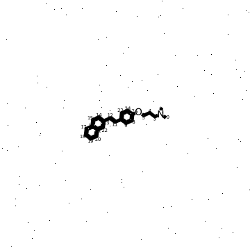 CN(C)CCCOc1ccc(C=Cc2ccc3ccccc3c2)cc1